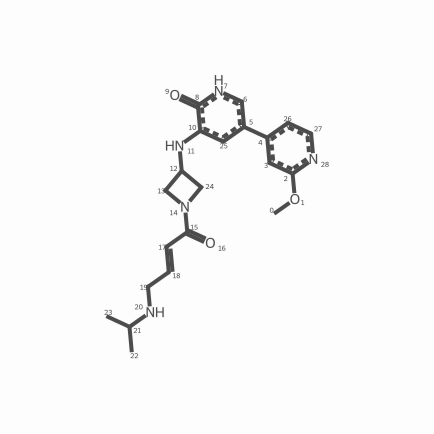 COc1cc(-c2c[nH]c(=O)c(NC3CN(C(=O)/C=C/CNC(C)C)C3)c2)ccn1